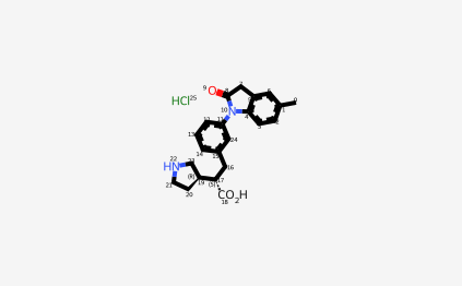 Cc1ccc2c(c1)CC(=O)N2c1cccc(C[C@H](C(=O)O)[C@H]2CCNC2)c1.Cl